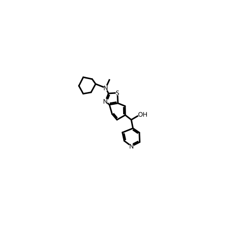 CN(c1nc2ccc(C(O)c3ccncc3)cc2s1)C1CCCCC1